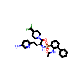 CC(=O)Nc1c(-c2ccccc2)cccc1S(=O)(=O)N[C@@H](CCc1ccc(N)cn1)C(=O)N1CCC(=C(F)F)CC1